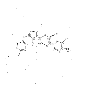 Cc1ccc(CN2CCC(N3CC[C@@H](c4ccc(O)c(F)c4)[C@H](F)C3)C2=O)cc1